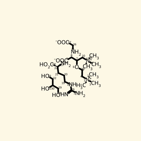 C[N+](C)(C)CCOC(CC(=O)[O-])C[N+](C)(C)C.N=C(N)NCCC[C@H](N)C(=O)O.NCC(=O)[O-].OCC(O)CO